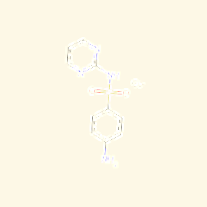 Nc1ccc(S(=O)(=O)Nc2ncccn2)cc1.[Co]